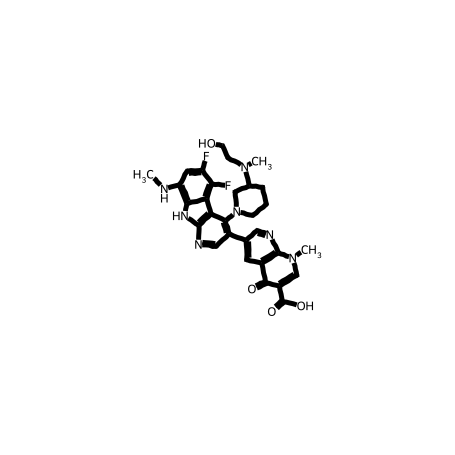 CNc1cc(F)c(F)c2c1[nH]c1ncc(-c3cnc4c(c3)c(=O)c(C(=O)O)cn4C)c(N3CCCC(N(C)CCO)C3)c12